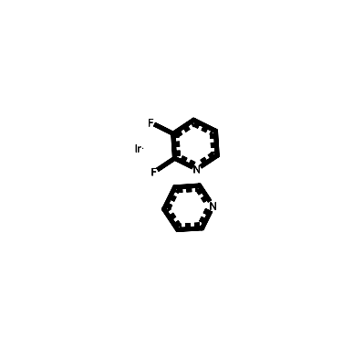 Fc1cccnc1F.[Ir].c1ccncc1